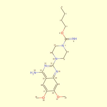 CCCCOC(=N)N1CCN(c2nc(N)c3cc(OC)c(OC)cc3n2)CC1